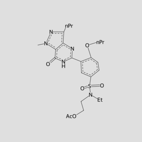 CCCOc1ccc(S(=O)(=O)N(CC)CCOC(C)=O)cc1-c1nc2c(CCC)nn(C)c2c(=O)[nH]1